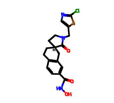 O=C(NO)c1ccc2c(c1)C[C@@]1(CC2)CCN(Cc2cnc(Cl)s2)C1=O